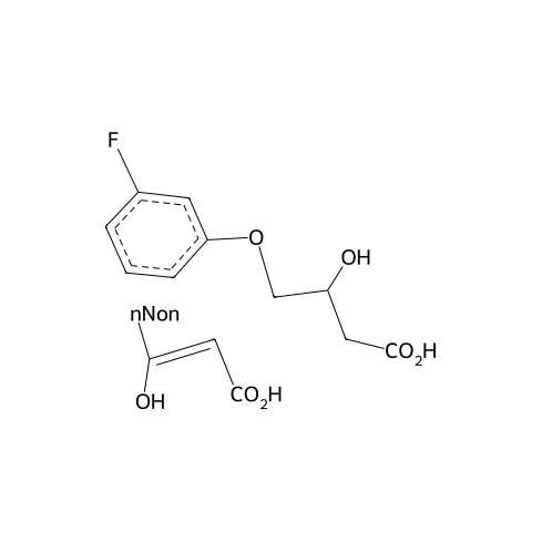 CCCCCCCCC/C(O)=C/C(=O)O.O=C(O)CC(O)COc1cccc(F)c1